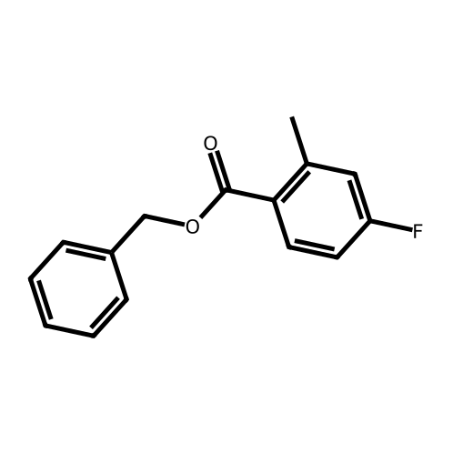 Cc1cc(F)ccc1C(=O)OCc1ccccc1